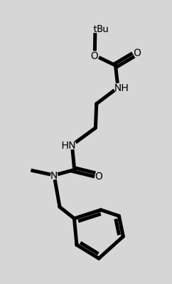 CN(Cc1ccccc1)C(=O)NCCNC(=O)OC(C)(C)C